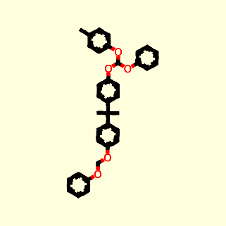 Cc1ccc(OC(Oc2ccccc2)Oc2ccc(C(C)(C)c3ccc(OCOc4ccccc4)cc3)cc2)cc1